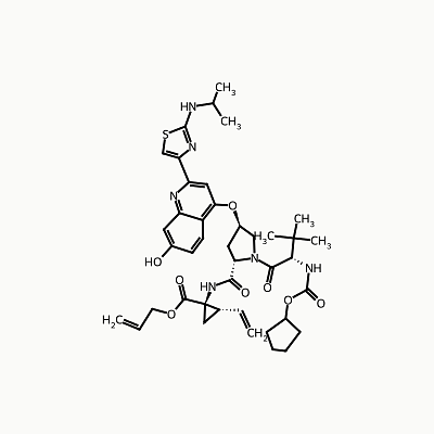 C=CCOC(=O)[C@@]1(NC(=O)[C@@H]2C[C@@H](Oc3cc(-c4csc(NC(C)C)n4)nc4cc(O)ccc34)CN2C(=O)[C@@H](NC(=O)OC2CCCC2)C(C)(C)C)C[C@H]1C=C